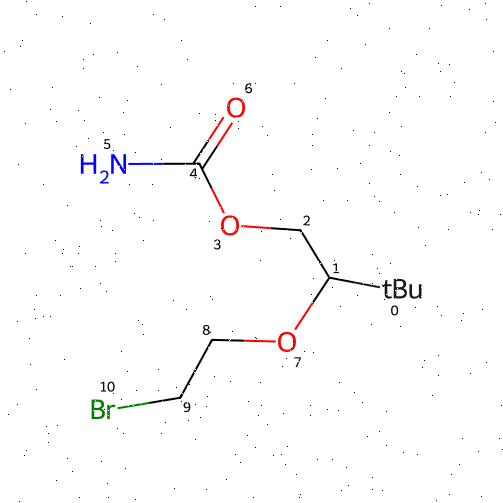 CC(C)(C)C(COC(N)=O)OCCBr